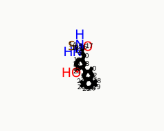 Cc1cc2c(cc1-c1cc(/C=C3\NC(=S)NC3=O)ccc1O)C(C)(C)CCC2(C)C